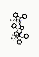 CC1(C)/C(=C\C=C2/CCC(/C=C/C3N(c4ccccc4)c4ccccc4C3(C)C)=C2N(c2ccccc2)c2ccccc2)N(c2ccccc2)c2ccccc21